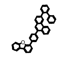 c1ccc(-c2ccccc2-c2ccc3cc(-c4ccc(-c5cccc6c5oc5ccccc56)cc4)c4ccccc4c3c2)cc1